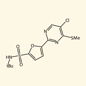 CSc1nc(-c2ccc(S(=O)(=O)NC(C)(C)C)o2)ncc1Cl